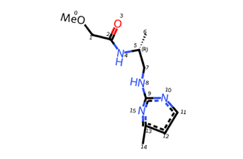 COCC(=O)N[C@H](C)CNc1nccc(C)n1